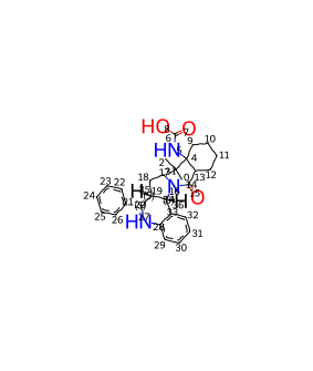 CC(C)(C)C1(NC(=O)O)CCCCC1C(=O)N1CC[C@H]2[C@@H](c3ccccc3)Nc3ccccc3[C@H]21